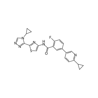 O=C(Nc1csc(-c2nncn2C2CC2)n1)c1cc(-c2ccc(C3CC3)nc2)ccc1F